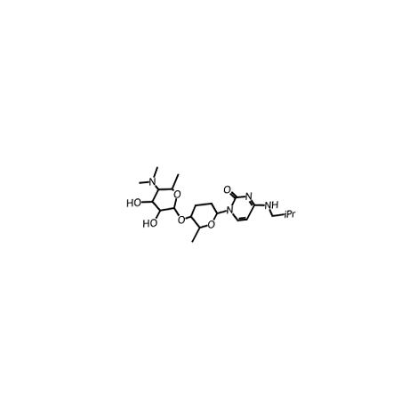 CC(C)CNc1ccn(C2CCC(OC3OC(C)C(N(C)C)C(O)C3O)C(C)O2)c(=O)n1